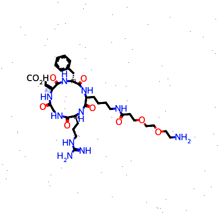 N=C(N)NCCC[C@@H]1NC(=O)C(CCCCNC(=O)CCOCCOCCN)NC(=O)[C@@H](Cc2ccccc2)NC(=O)/C(=C\C(=O)O)NC(=O)CNC1=O